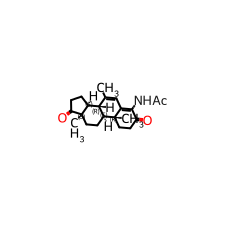 CC(=O)NC1=C2C=C(C)[C@@H]3[C@H](CC[C@]4(C)C(=O)CC[C@@H]34)[C@@]2(C)CCC1=O